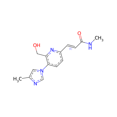 CNC(=O)/C=C/c1ccc(-n2cnc(C)c2)c(CO)n1